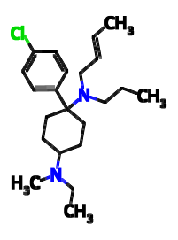 CC=CCN(CCC)C1(c2ccc(Cl)cc2)CCC(N(C)CC)CC1